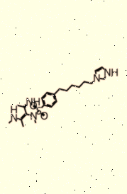 CN/C(C)=C(\C(C)=N)N(C)S(=O)(=O)c1ccc(CCCCCCN2C=CNC2)cc1